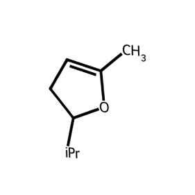 CC1=CCC(C(C)C)O1